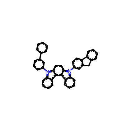 c1ccc(-c2cccc(-n3c4ccccc4c4c5c6ccccc6n(-c6ccc7c(c6)Cc6ccccc6-7)c5ccc43)c2)cc1